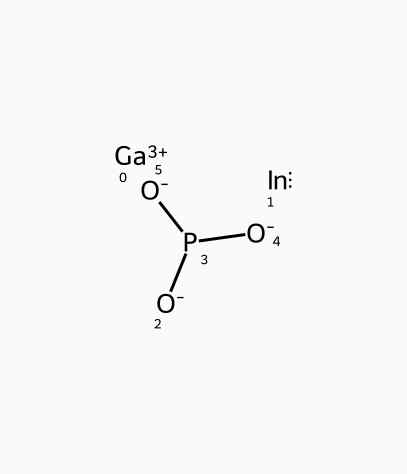 [Ga+3].[In].[O-]P([O-])[O-]